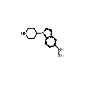 CC(C)(C)Nc1ccc2c(ccn2C2CCNCC2)c1